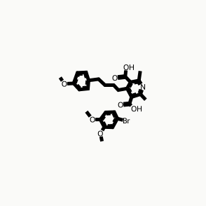 COc1ccc(Br)cc1OC.COc1ccc(CCCCc2c(C(=O)O)c(C)nc(C)c2C(=O)O)cc1